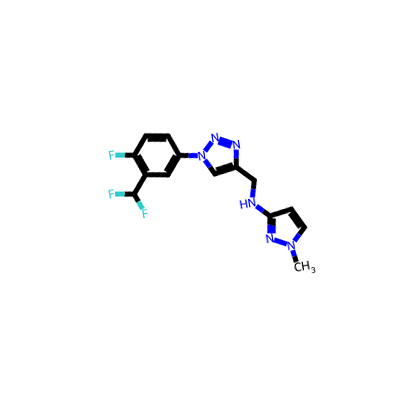 Cn1ccc(NCc2cn(-c3ccc(F)c(C(F)F)c3)nn2)n1